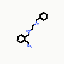 NCc1ccccc1CNCCNCc1ccccc1